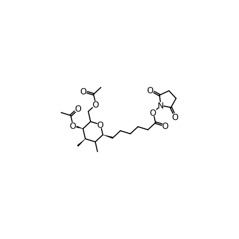 CC(=O)OCC1O[C@@H](CCCCCC(=O)ON2C(=O)CCC2=O)C(C)[C@@H](C)[C@H]1OC(C)=O